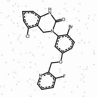 O=C1Nc2cccc(Cl)c2CN1c1cc(OCc2ncccc2F)ccc1Br